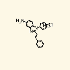 Cl.Cl.Nc1ccc2c(c1)nc(C=Cc1ccccc1)n2-c1ccccc1